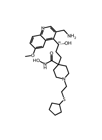 COc1ccc2ncc(CN)c([C@H](O)CCC3(C(=O)NO)CCN(CCSC4CCCC4)CC3)c2c1